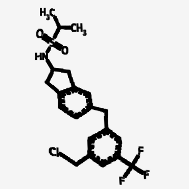 CC(C)S(=O)(=O)NC1Cc2ccc(Cc3cc(CCl)cc(C(F)(F)F)c3)cc2C1